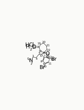 CN(C)CCCC1c2cc(Br)cc(Br)c2OC12CCCCCC2.Cl.O